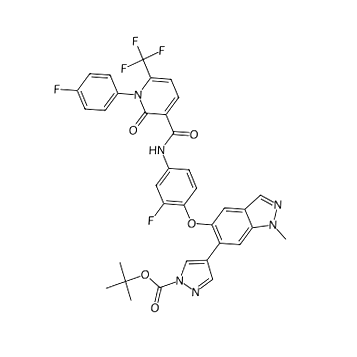 Cn1ncc2cc(Oc3ccc(NC(=O)c4ccc(C(F)(F)F)n(-c5ccc(F)cc5)c4=O)cc3F)c(-c3cnn(C(=O)OC(C)(C)C)c3)cc21